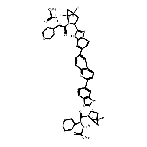 COC(=O)N[C@H](C(=O)N1[C@@H]2C[C@@H]2C[C@H]1c1nc2ccc(-c3ccc4nc(-c5ccc6nc([C@@H]7C[C@H]8C[C@H]8N7C(=O)[C@@H](NC(=O)OC)C7CCOCC7)[nH]c6c5)ccc4c3)cc2[nH]1)C1CCOCC1